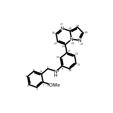 COc1ccccc1CNc1cccc(-c2ccnc3ccnn23)c1